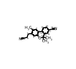 Cc1cc2c(cc1CCC#N)OC(C)(C)c1cc(C#N)ccc1-2